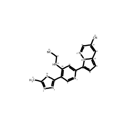 Cc1nnc(-c2cnc(-c3ccc4cc(C#N)cnn34)cc2NCC#N)s1